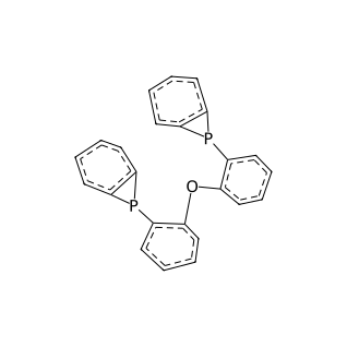 c1ccc(P2c3ccccc32)c(Oc2ccccc2P2c3ccccc32)c1